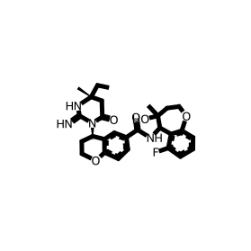 CC[C@]1(C)CC(=O)N([C@@H]2CCOc3ccc(C(=O)NC4c5c(F)cccc5OCCC4(C)O)cc32)C(=N)N1